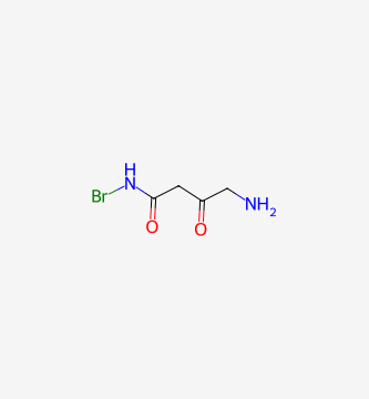 NCC(=O)CC(=O)NBr